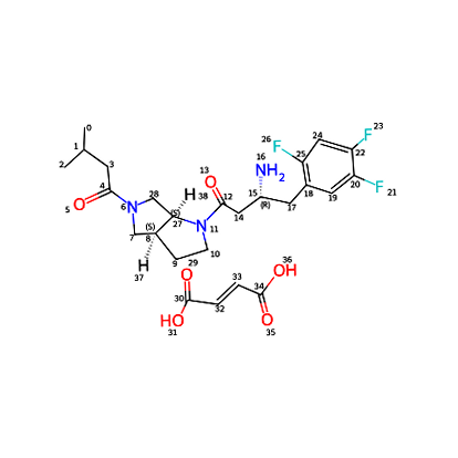 CC(C)CC(=O)N1C[C@@H]2CCN(C(=O)C[C@H](N)Cc3cc(F)c(F)cc3F)[C@@H]2C1.O=C(O)C=CC(=O)O